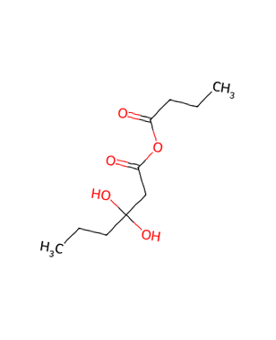 CCCC(=O)OC(=O)CC(O)(O)CCC